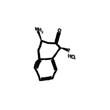 Cl.N[C@@H]1Cc2ccccc2[C@H](F)C1=O